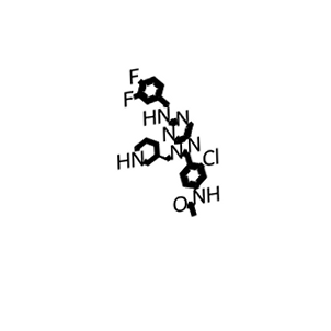 CC(=O)Nc1ccc(-c2nc3cnc(NCc4ccc(F)c(F)c4)nc3n2C[C@@H]2CCCNC2)c(Cl)c1